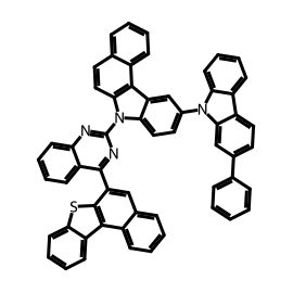 c1ccc(-c2ccc3c4ccccc4n(-c4ccc5c(c4)c4c6ccccc6ccc4n5-c4nc(-c5cc6ccccc6c6c5sc5ccccc56)c5ccccc5n4)c3c2)cc1